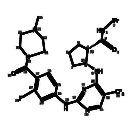 CC(C)NC(=O)[C@H]1CCC[C@H]1Nc1nc(Nc2ccc(C(=O)N3CCN(C)CC3)c(F)c2)ncc1C(F)(F)F